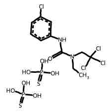 CCN(CC(Cl)(Cl)Cl)C(=O)Nc1cccc(Cl)c1.OP(O)(O)=S.OP(O)(O)=S